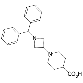 O=C(O)C1CCN(C2CN(C(c3ccccc3)c3ccccc3)C2)CC1